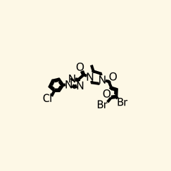 CC1CN(C(=O)c2cc(Br)c(Br)o2)CCN1C(=O)c1ncn(-c2cccc(Cl)c2)n1